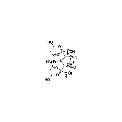 CCCN(C(P(=O)(O)O)P(=O)(O)O)C(P(=O)(O)O)P(=O)(O)O.OCCCNCCCO